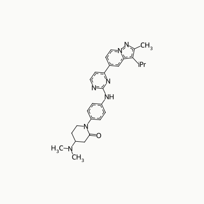 Cc1nn2ccc(-c3ccnc(Nc4ccc(N5CCC(N(C)C)CC5=O)cc4)n3)cc2c1C(C)C